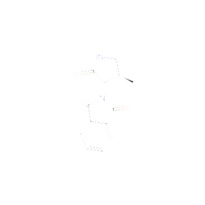 C[C@@H]1CNC(=O)[C@H]1N1C(=O)c2ccccc2C1=O